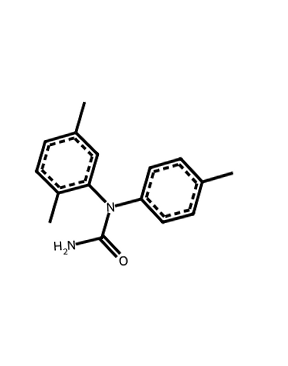 Cc1ccc(N(C(N)=O)c2cc(C)ccc2C)cc1